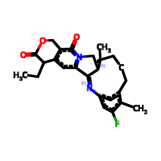 CCC1C(=O)OCc2c1cc1n(c2=O)CC2=C(/C)CCCc3cc(cc(F)c3C)/N=C\21